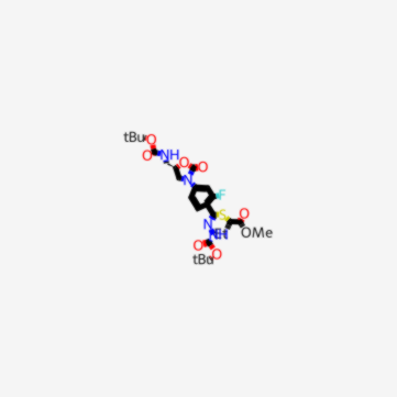 CCC(SC(=NNC(=O)OC(C)(C)C)c1ccc(N2C[C@H](CNC(=O)OC(C)(C)C)OC2=O)cc1F)C(=O)OC